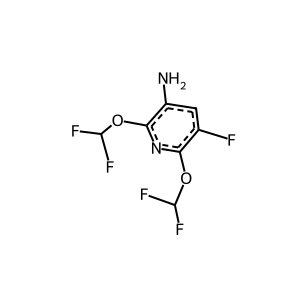 Nc1cc(F)c(OC(F)F)nc1OC(F)F